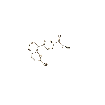 COC(=O)c1ccc(-c2cccc3ccc(O)nc23)cc1